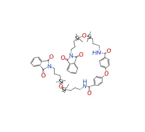 C[Si](C)(CCCNC(=O)c1ccc(Oc2ccc(C(=O)NCCC[Si](C)(C)O[Si](C)(C)CCCN3C(=O)c4ccccc4C3=O)cc2)cc1)O[Si](C)(C)CCCN1C(=O)c2ccccc2C1=O